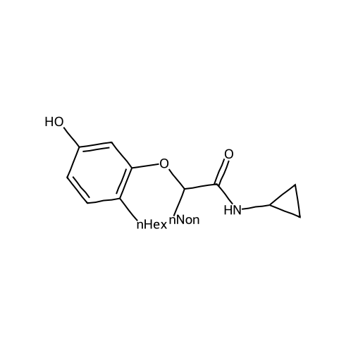 CCCCCCCCCC(Oc1cc(O)ccc1CCCCCC)C(=O)NC1CC1